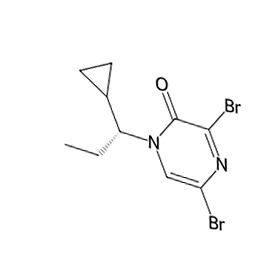 CC[C@H](C1CC1)n1cc(Br)nc(Br)c1=O